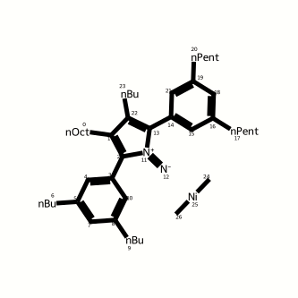 CCCCCCCCC1=C(c2cc(CCCC)cc(CCCC)c2)[N+](=[N-])C(c2cc(CCCCC)cc(CCCCC)c2)=C1CCCC.[CH3][Ni][CH3]